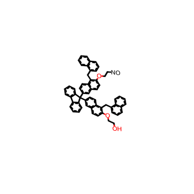 O=NCCOc1ccc2cc(C3(c4ccc5c(Cc6cccc7ccccc67)c(OCCO)ccc5c4)c4ccccc4-c4ccccc43)ccc2c1Cc1cccc2ccccc12